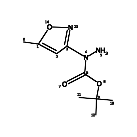 Cc1cc(N(N)C(=O)OC(C)(C)C)no1